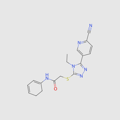 CCn1c(SCC(=O)NC2=CC=CCC2)nnc1-c1ccc(C#N)nc1